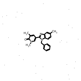 Cc1ccc2c(c1)nc(-c1cc(C)c(=O)n(C)c1)n2Cc1ccccc1